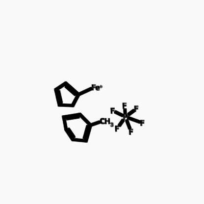 Cc1ccccc1.F[P-](F)(F)(F)(F)F.[Fe+][C]1=CC=CC1